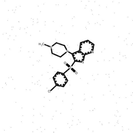 CN1CCN(c2c(S(=O)(=O)c3ccc(Cl)cc3)sc3ncccc23)CC1